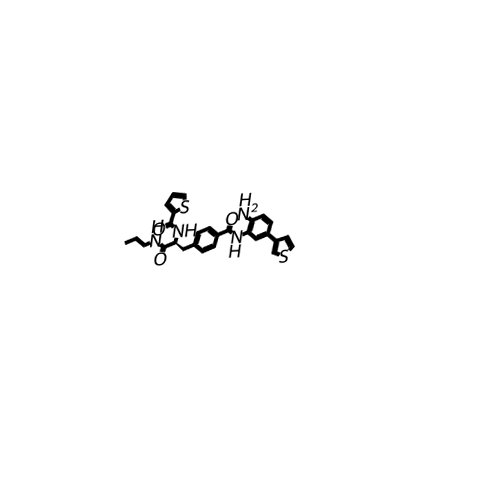 CCCNC(=O)[C@H](Cc1ccc(C(=O)Nc2cc(-c3ccsc3)ccc2N)cc1)NC(=O)c1cccs1